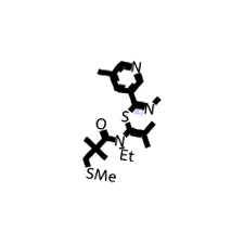 CCN(C(=O)C(C)(C)CSC)C(S/C(=N/C)c1cncc(C)c1)=C(C)C